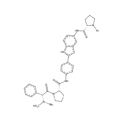 CC(=O)N1CCC[C@H]1C(=O)Nc1ccc2[nH]c(-c3ccc(NC(=O)[C@@H]4CCCN4C(=O)[C@@H](c4ccccc4)N(C(=O)O)C(C)(C)C)cc3)cc2c1